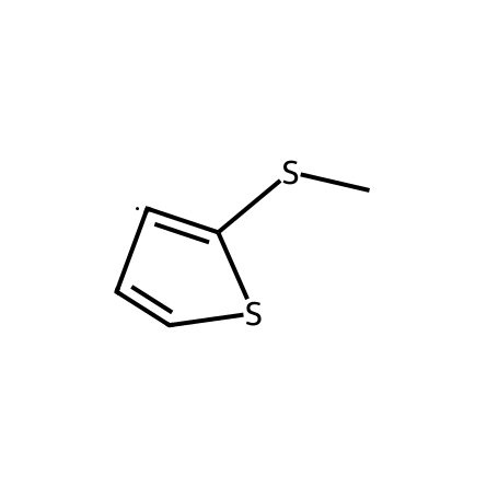 CSc1[c]ccs1